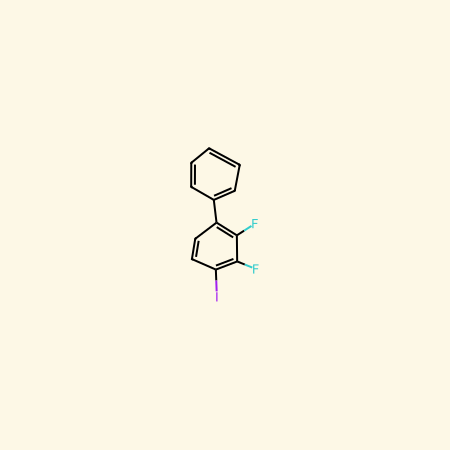 Fc1c(I)ccc(-c2ccccc2)c1F